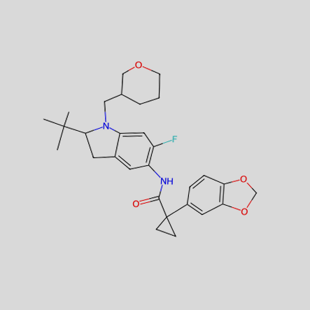 CC(C)(C)C1Cc2cc(NC(=O)C3(c4ccc5c(c4)OCO5)CC3)c(F)cc2N1CC1CCCOC1